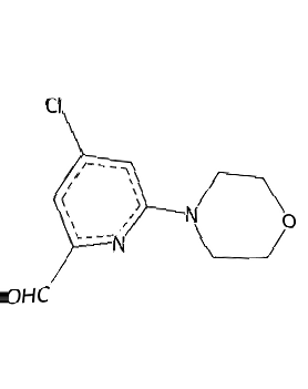 O=Cc1cc(Cl)cc(N2CCOCC2)n1